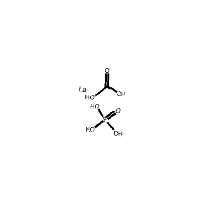 O=C(O)O.O=P(O)(O)O.[La]